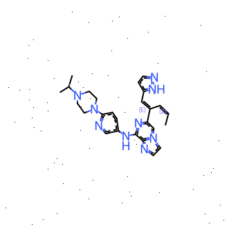 C/C=C\C(=C/c1ccn[nH]1)c1cn2ccnc2c(Nc2ccc(N3CCN(C(C)C)CC3)nc2)n1